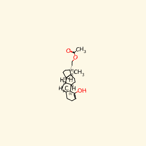 CC(=O)OCC[C@H]1CC[C@H]2[C@@H]3CCC4CCC=C(O)[C@]4(C)[C@H]3CC[C@]12C